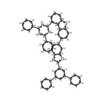 c1ccc(-c2cc(-c3ccccc3)cc(-c3nc4ccc(-c5ccc6sc7cccc(-c8nc(-c9ccccc9)nc(-c9ccccc9)n8)c7c6c5)cc4o3)c2)cc1